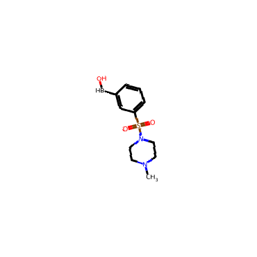 CN1CCN(S(=O)(=O)c2cccc(BO)c2)CC1